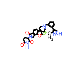 Cc1n[nH]cc1-c1cccc(CN2CCC3(COc4c3ccc3c4CN(C4CCC(=O)NC4=O)C3=O)C(F)(F)C2)c1